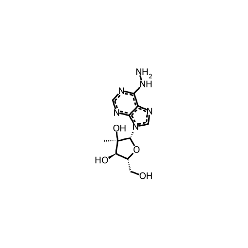 C[C@@]1(O)[C@H](O)[C@@H](CO)O[C@H]1n1cnc2c(NN)ncnc21